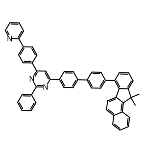 CC1(C)c2cccc(-c3ccc(-c4ccc(-c5cc(-c6ccc(-c7ccccn7)cc6)nc(-c6ccccc6)n5)cc4)cc3)c2-c2ccc3ccccc3c21